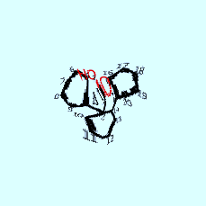 O=C(O)C1(c2ccccc2)C=CC=CC1c1ccccc1